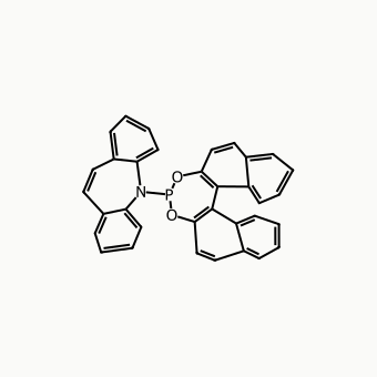 C1=Cc2ccccc2N(p2oc3ccc4ccccc4c3c3c(ccc4ccccc43)o2)c2ccccc21